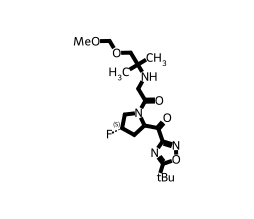 COCOCC(C)(C)NCC(=O)N1C[C@@H](F)CC1C(=O)c1noc(C(C)(C)C)n1